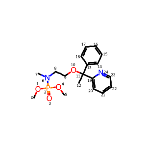 COP(=O)(OC)N(C)CCOC(C)(c1ccccc1)c1ccccn1